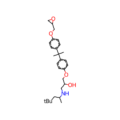 CC(CC(C)(C)C)NCC(O)COc1ccc(C(C)(C)c2ccc(OCC3CO3)cc2)cc1